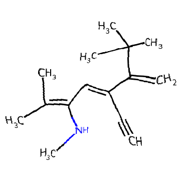 C#C/C(=C\C(NC)=C(C)C)C(=C)C(C)(C)C